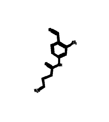 Cc1cc(NC(=O)CCCN)ccc1C=O